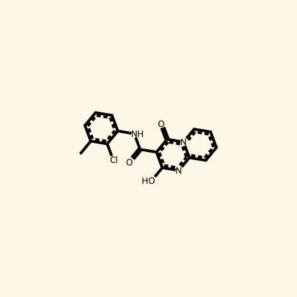 Cc1cccc(NC(=O)c2c(O)nc3ccccn3c2=O)c1Cl